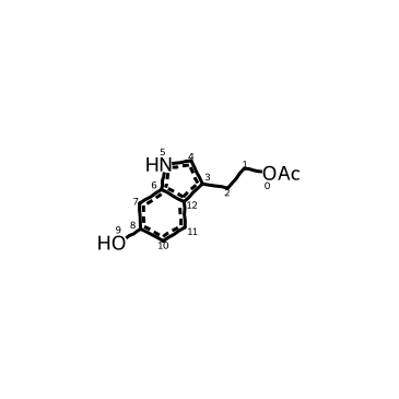 CC(=O)OCCc1c[nH]c2cc(O)ccc12